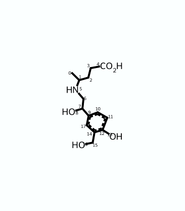 CC(CCC(=O)O)NCC(O)c1ccc(O)c(CO)c1